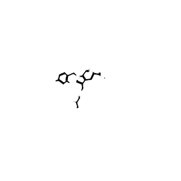 O=C(NO)c1cc2c(COC[C@H](O)CO)cn(Cc3ccc(F)cc3F)c2cn1